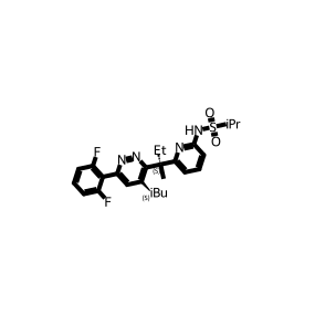 CC[C@H](C)c1cc(-c2c(F)cccc2F)nnc1[C@@](C)(CC)c1cccc(NS(=O)(=O)C(C)C)n1